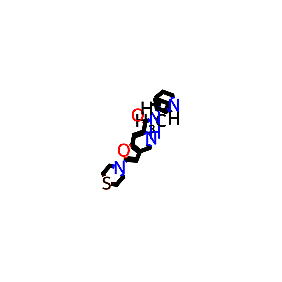 C[C@H]1[C@H](NC(=O)c2cc3oc(N4CCSCC4)cc3cn2)C2CCN1CC2